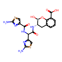 Nc1nc(C(=O)NC(C(=O)N[C@H]2Cc3cccc(C(=O)O)c3OB2O)c2csc(N)n2)cs1